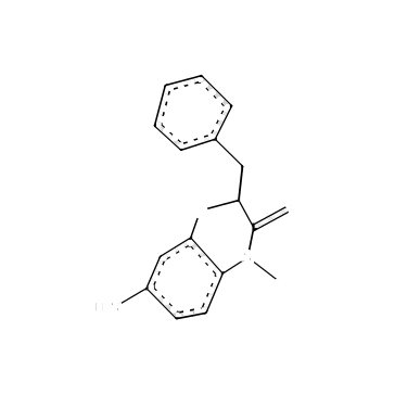 CCN1C(=O)C(Cc2ccccc2)Oc2cc(N)ccc21